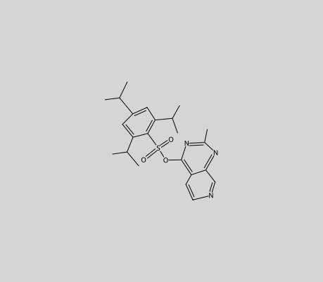 Cc1nc(OS(=O)(=O)c2c(C(C)C)cc(C(C)C)cc2C(C)C)c2ccncc2n1